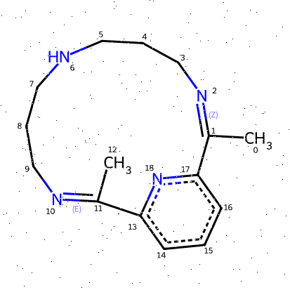 C/C1=N/CCCNCCC/N=C(\C)c2cccc1n2